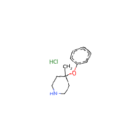 CC1(Oc2ccccc2)CCNCC1.Cl